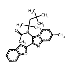 CC(=O)N(c1c(-c2cc3ccccc3o2)nc2cc(C)ccn12)C(C)(C)CC(C)(C)C